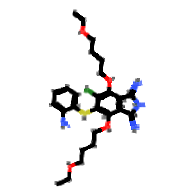 CCOCCCCOc1c(Cl)c(Sc2ccccc2N)c(OCCCCOCC)c2c1C(=N)NC2=N